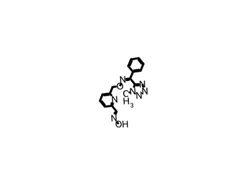 Cn1nnnc1C(=NOCc1cccc(C=NO)n1)c1ccccc1